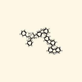 NC(NC(NCC1C=CC=CC1)c1ccccc1)c1ccc2c(c1)sc1cccc(-c3ccc4oc5c(-c6cccc7oc8ccccc8c67)cccc5c4c3)c12